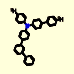 [3H]c1ccc(-c2ccc(N(c3ccc([3H])cc3)c3ccc(-c4cccc(-c5ccccc5)c4)cc3)cc2)cc1